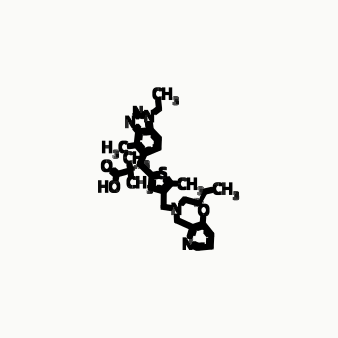 CC[C@@H]1CN(Cc2cc([C@@H](c3ccc4c(nnn4CC)c3C)C(C)(C)C(=O)O)sc2C)Cc2ncccc2O1